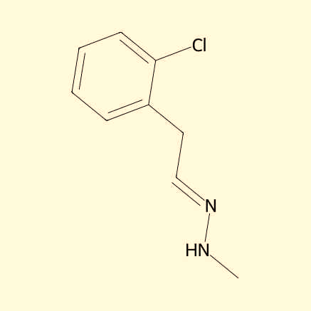 CNN=CCc1ccccc1Cl